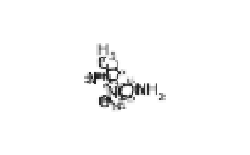 Cc1cccc(CN2C(=O)CCc3cc(N)ccc32)c1C#N